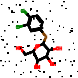 OCC1OC(Sc2ccc(Cl)c(Cl)c2)C(O)C(O)C1O